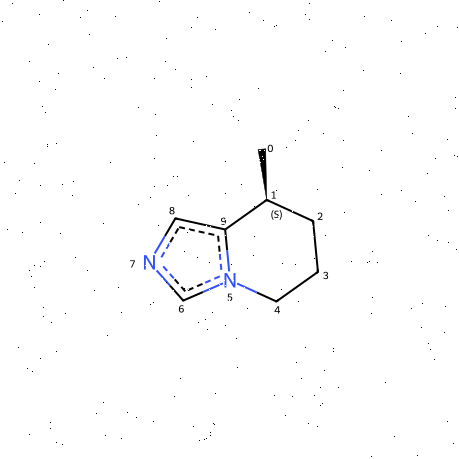 C[C@H]1CCCn2cncc21